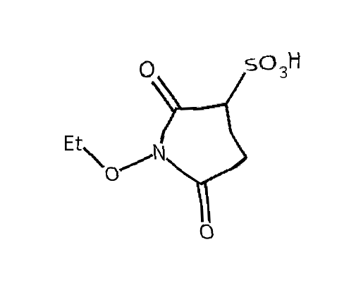 CCON1C(=O)CC(S(=O)(=O)O)C1=O